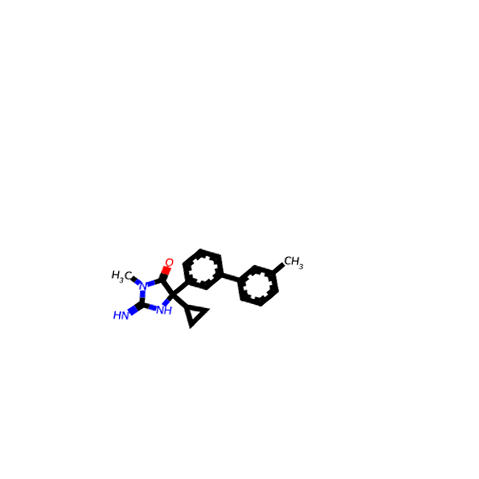 Cc1cccc(-c2cccc(C3(C4CC4)NC(=N)N(C)C3=O)c2)c1